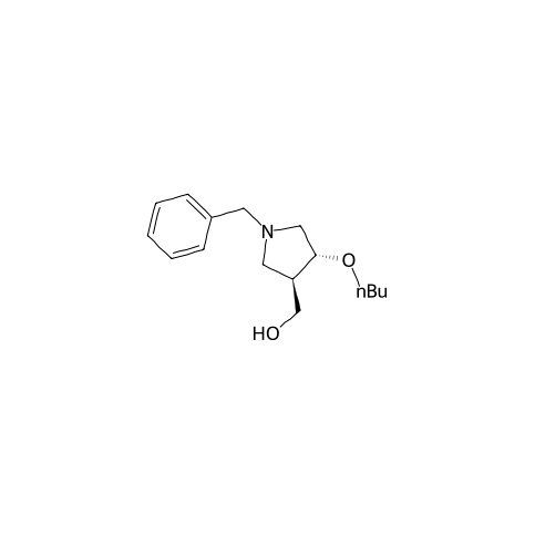 CCCCO[C@H]1CN(Cc2ccccc2)C[C@@H]1CO